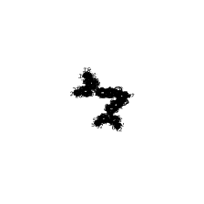 Cc1cc2oc3cc4cc(-n5c6ccc(C(C)(C)C)cc6c6cc(C(C)(C)C)ccc65)ccc4cc3c2c2c1oc1cc3cc(-n4c5ccc(C(C)(C)C)cc5c5cc(C(C)(C)C)ccc54)ccc3cc12